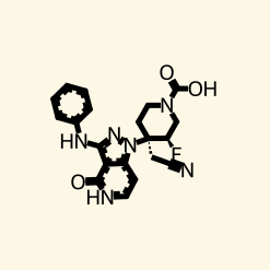 N#CC[C@]1(n2nc(Nc3ccccc3)c3c(=O)[nH]ccc32)CCN(C(=O)O)C[C@H]1F